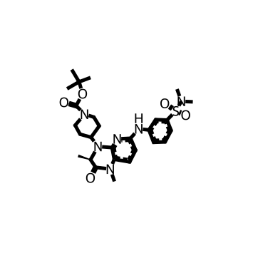 C[C@@H]1C(=O)N(C)c2ccc(Nc3cccc(S(=O)(=O)N(C)C)c3)nc2N1C1CCN(C(=O)OC(C)(C)C)CC1